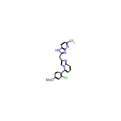 COc1ccc(-c2cccc3nc(Cc4nc5nc(C(F)(F)F)ccc5[nH]4)cn23)c(Cl)c1